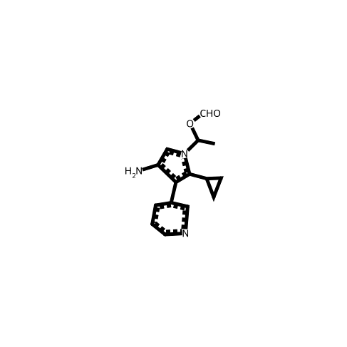 CC(OC=O)n1cc(N)c(-c2cccnc2)c1C1CC1